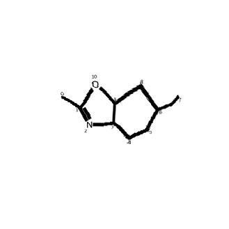 CC1=NC2CCC(C)CC2O1